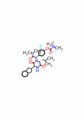 CC(C)C[C@@H]1C(=O)NC(C2Cc3ccccc3C2)C(=O)N1[C@@H](C(=O)N(C)C)c1ccc(OC(=O)N(C)C)c(F)c1